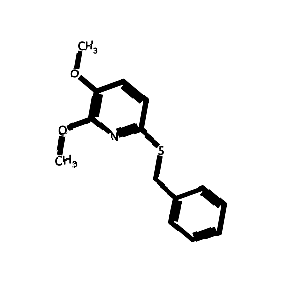 COc1ccc(SCc2ccccc2)nc1OC